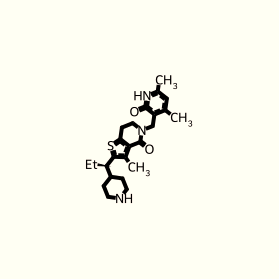 CC[C@@H](c1sc2c(c1C)C(=O)N(Cc1c(C)cc(C)[nH]c1=O)CC2)C1CCNCC1